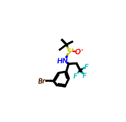 CC(C)(C)[S@@+]([O-])NC(CC(F)(F)F)c1cccc(Br)c1